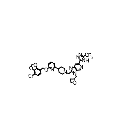 FC(F)(F)c1nnc(-c2cc3nc(CN4CCC(c5cccc(OCc6ccc(Cl)c7c6OCO7)n5)CC4)n(C[C@@H]4CCO4)c3cn2)[nH]1